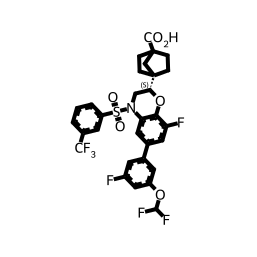 O=C(O)C12CCC([C@H]3CN(S(=O)(=O)c4cccc(C(F)(F)F)c4)c4cc(-c5cc(F)cc(OC(F)F)c5)cc(F)c4O3)(CC1)C2